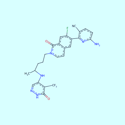 CC(CCCn1ccc2cc(-c3nc(N)ccc3C#N)c(F)cc2c1=O)Nc1cn[nH]c(=O)c1C(F)(F)F